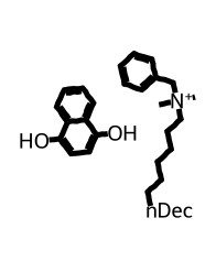 CCCCCCCCCCCCCCCC[N+](C)(C)Cc1ccccc1.Oc1ccc(O)c2ccccc12